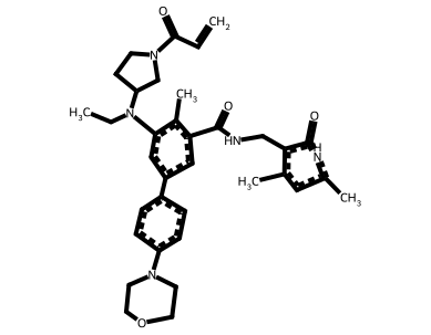 C=CC(=O)N1CCC(N(CC)c2cc(-c3ccc(N4CCOCC4)cc3)cc(C(=O)NCc3c(C)cc(C)[nH]c3=O)c2C)C1